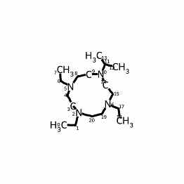 CCN1CCN(CC)CCN(C(C)C)CCN(CC)CC1